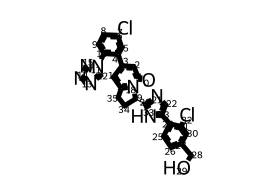 O=c1cc(-c2cc(Cl)ccc2-n2cnnn2)cc2n1[C@H](c1ncc(-c3ccc(CO)cc3Cl)[nH]1)CC2